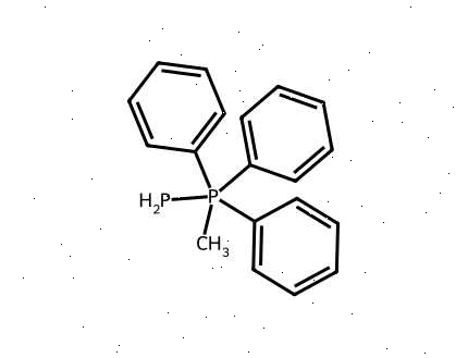 CP(P)(c1ccccc1)(c1ccccc1)c1ccccc1